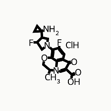 CC1COc2c(N3CC(F)C(C4(N)CC4)C3)c(F)cc3c(=O)c(C(=O)O)cn1c23.Cl